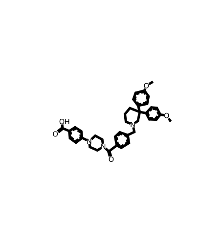 COc1ccc(C2(c3ccc(OC)cc3)CCCN(Cc3ccc(C(=O)N4CCN(c5ccc(C(=O)O)cc5)CC4)cc3)C2)cc1